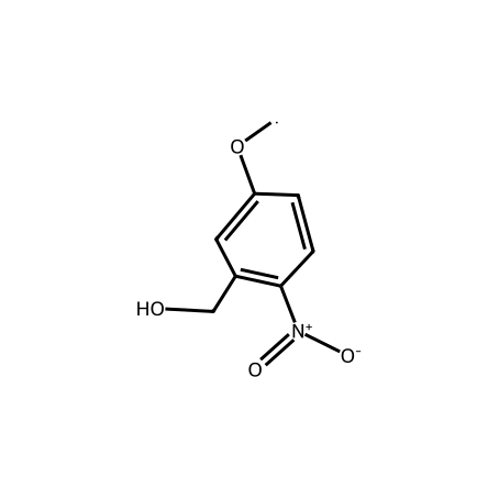 [CH2]Oc1ccc([N+](=O)[O-])c(CO)c1